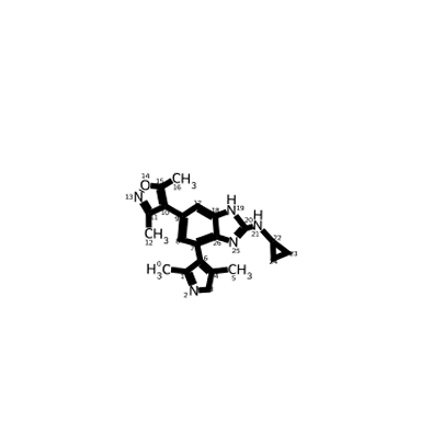 CC1=NCC(C)=C1c1cc(-c2c(C)noc2C)cc2[nH]c(NC3CC3)nc12